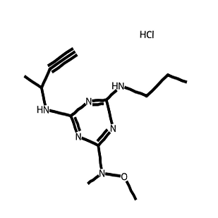 C#CC(C)Nc1nc(NCCC)nc(N(C)OC)n1.Cl